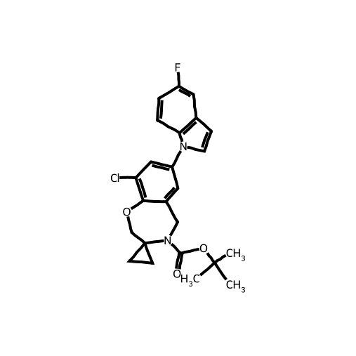 CC(C)(C)OC(=O)N1Cc2cc(-n3ccc4cc(F)ccc43)cc(Cl)c2OCC12CC2